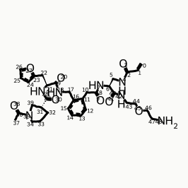 C=CC(=O)NC[C@H](NC(=O)Cc1ccccc1CNC(=O)[C@H](Cc1ccco1)NC(=O)[C@@H]1CCCN(C(C)=O)C1)C(=O)NCCOCCN